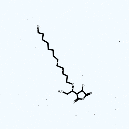 CCCCCCCCCCCCCCOC(CC)C1C(=O)OC(=O)C1C